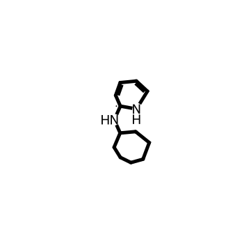 C1=CN[C](NC2CCCCCC2)C=C1